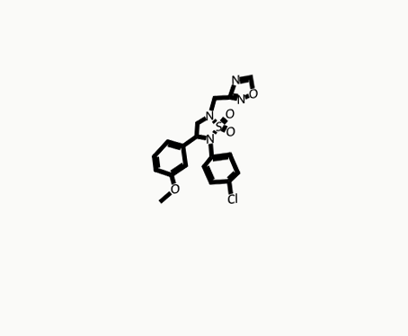 COc1cccc(C2CN(Cc3ncon3)S(=O)(=O)N2c2ccc(Cl)cc2)c1